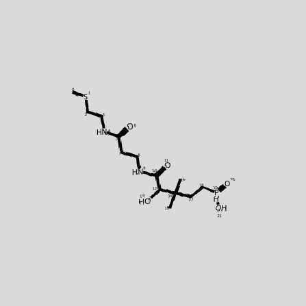 CSCCNC(=O)CCNC(=O)C(O)C(C)(C)CC[PH](=O)O